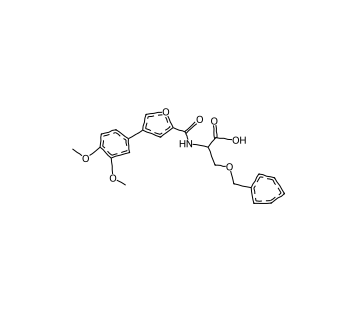 COc1ccc(-c2coc(C(=O)NC(COCc3ccccc3)C(=O)O)c2)cc1OC